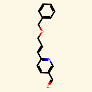 O=Cc1ccc(C=CCOCc2ccccc2)nc1